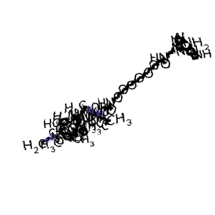 C=C/C=C/C=C(\C)[C@H](C[C@@H]1CC[C@@H](C)[C@](O)(C(=O)C(=O)N2CCCC[C@H]2C(=O)O[C@@H](C[C@@H](O)[C@H](C)/C=C(\C)[C@@H](O)[C@@H](OC)/C(=N/OCC(=O)NCCOCCOCCOCCOCCOCCOCCC(=O)NCCCCn2nc(-c3cnc4[nH]ccc4c3)c3c(N)ncnc32)[C@H](C)CC(C)C)[C@H](N)C[C@@H]2CC[C@@H](O)[C@H](OC)C2)O1)OC